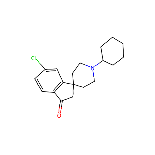 O=C1CC2(CCN(C3CCCCC3)CC2)c2cc(Cl)ccc21